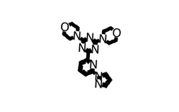 c1cc(-c2nc(N3CCOCC3)nc(N3CCOCC3)n2)nc(-n2cccn2)c1